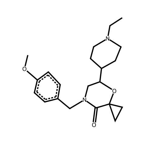 CCN1CCC(C2CN(Cc3ccc(OC)cc3)C(=O)C3(CC3)O2)CC1